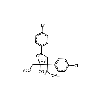 CC(=O)OCC(C(=O)O)(C(=O)O)C(COC(C)=O)(CC(=O)c1ccc(Br)cc1)c1ccc(Cl)cc1